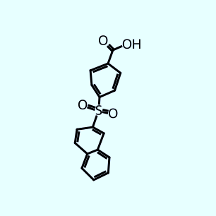 O=C(O)c1ccc(S(=O)(=O)c2ccc3ccccc3c2)cc1